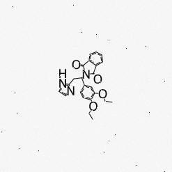 CCOc1ccc(C(Cc2ncc[nH]2)N2C(=O)c3ccccc3C2=O)cc1OCC